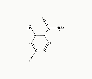 CNC(=O)c1ccc(F)cc1S